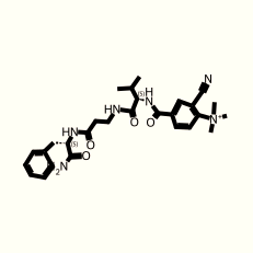 CC(C)[C@H](NC(=O)c1ccc([N+](C)(C)C)c(C#N)c1)C(=O)NCCC(=O)N[C@@H](Cc1ccccc1)C(N)=O